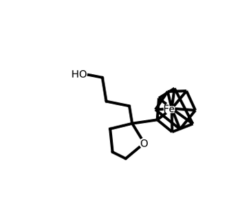 OCCCC1([C]23[CH]4[CH]5[CH]6[CH]2[Fe]56432789[CH]3[CH]2[CH]7[CH]8[CH]39)CCCO1